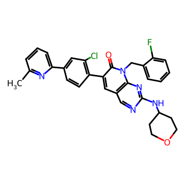 Cc1cccc(-c2ccc(-c3cc4cnc(NC5CCOCC5)nc4n(Cc4ccccc4F)c3=O)c(Cl)c2)n1